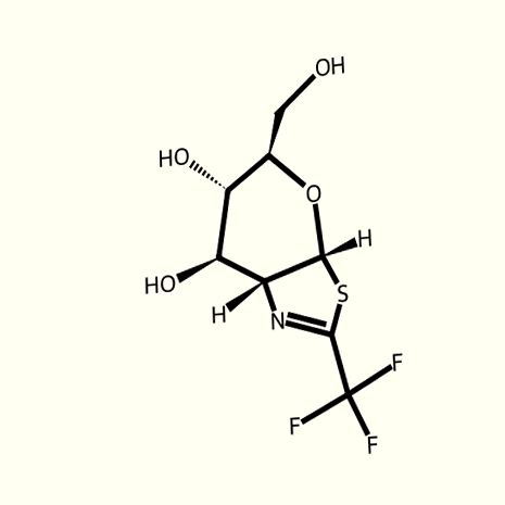 OC[C@H]1O[C@@H]2SC(C(F)(F)F)=N[C@@H]2[C@@H](O)[C@@H]1O